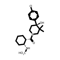 CC1(C)CN(C(=O)[C@H]2CCCC[C@H]2NC(=O)O)CC[C@]1(O)c1ccc(Cl)cc1